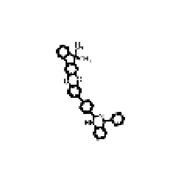 CC1(C)c2ccccc2-c2cc3c(cc21)Oc1cc(-c2ccc(C4N=C(c5ccccc5)c5ccccc5N4)cc2)ccc1O3